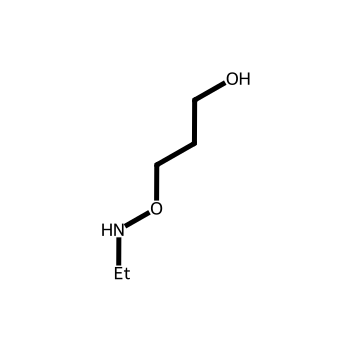 CCNOCCCO